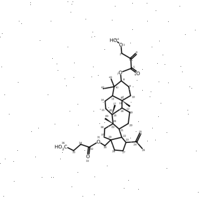 C=C(COO)C(=O)OC1CC[C@@]2(C)C(CC[C@]3(C)C2CCC2C4C(C(=C)C)CCC4(COC(=O)CCC(=O)O)CC[C@@]23C)C1(C)C